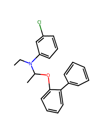 CCN(c1cccc(Cl)c1)C(C)Oc1ccccc1-c1ccccc1